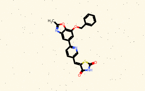 Cc1nc2cc(-c3ccc(/C=C4\SC(=O)NC4=O)cn3)cc(OCc3ccccc3)c2o1